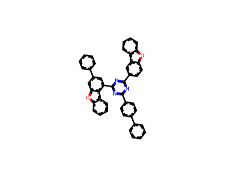 c1ccc(-c2ccc(-c3nc(-c4ccc5oc6ccccc6c5c4)nc(-c4cc(-c5ccccc5)cc5oc6ccccc6c45)n3)cc2)cc1